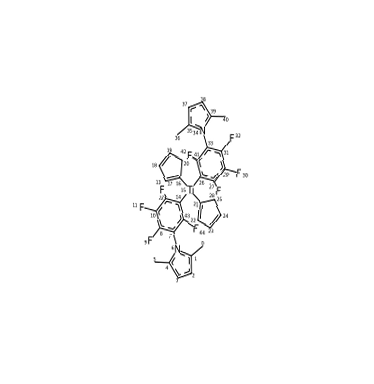 Cc1ccc(C)n1-c1c(F)c(F)c(F)[c]([Ti]([C]2=CC=CC2)([C]2=CC=CC2)[c]2c(F)c(F)c(F)c(-n3c(C)ccc3C)c2F)c1F